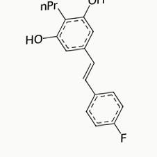 CCCc1c(O)cc(C=Cc2ccc(F)cc2)cc1O